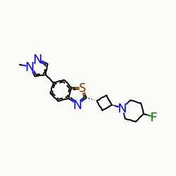 Cn1cc(-c2ccc3nc([C@H]4C[C@H](N5CCC(F)CC5)C4)sc3c2)cn1